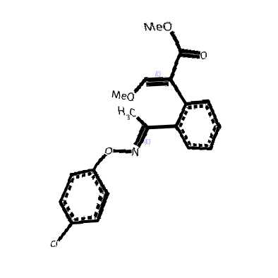 CO/C=C(/C(=O)OC)c1ccccc1/C(C)=N/Oc1ccc(Cl)cc1